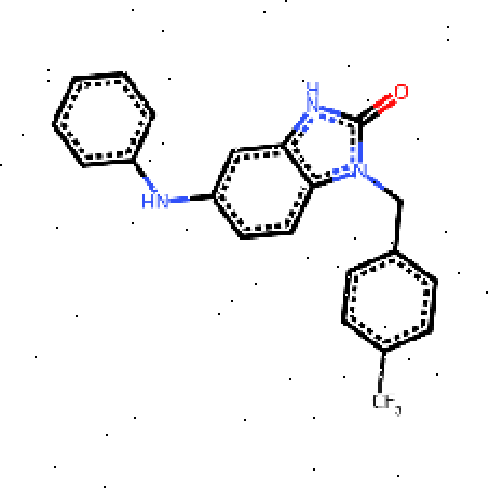 O=c1[nH]c2cc(Nc3ccccc3)ccc2n1Cc1ccc(C(F)(F)F)cc1